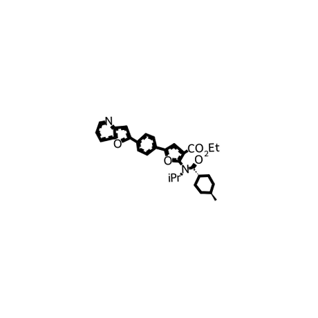 CCOC(=O)c1cc(-c2ccc(-c3cc4ncccc4o3)cc2)oc1N(C(=O)[C@H]1CC[C@H](C)CC1)C(C)C